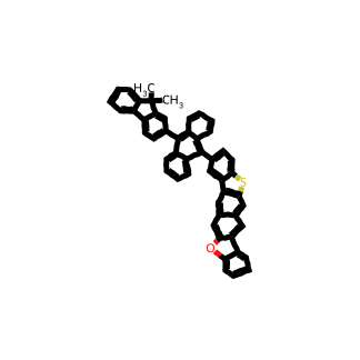 CC1(C)c2ccccc2-c2ccc(-c3c4ccccc4c(-c4ccc5sc6cc7cc8c(cc7cc6c5c4)oc4ccccc48)c4ccccc34)cc21